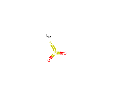 O=S(=O)=S.[Na]